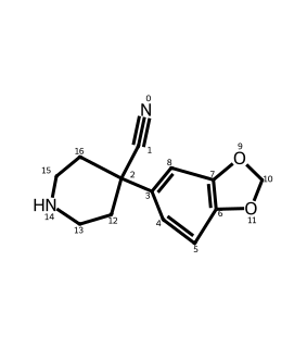 N#CC1(c2ccc3c(c2)OCO3)CCNCC1